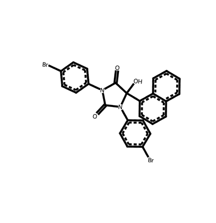 O=C1N(c2ccc(Br)cc2)C(=O)C(O)(c2cccc3ccccc23)N1c1ccc(Br)cc1